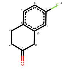 O=C1CCc2ccc(F)cc2C1